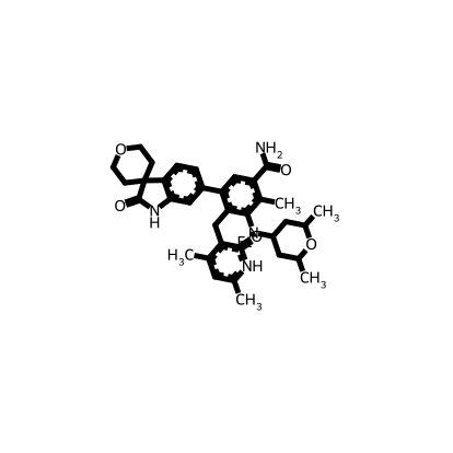 CCN(c1c(C)c(C(N)=O)cc(-c2ccc3c(c2)NC(=O)C32CCOCC2)c1Cc1c(C)cc(C)[nH]c1=O)C1CC(C)OC(C)C1